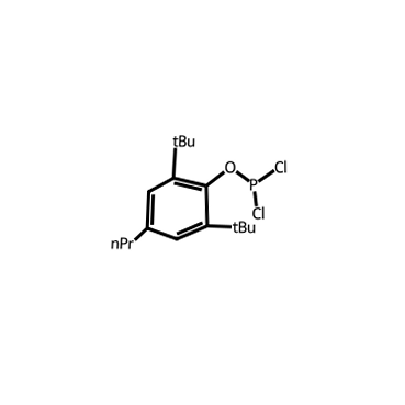 CCCc1cc(C(C)(C)C)c(OP(Cl)Cl)c(C(C)(C)C)c1